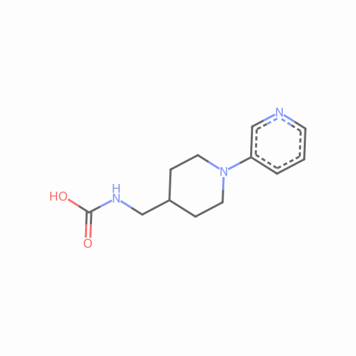 O=C(O)NCC1CCN(c2cccnc2)CC1